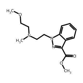 COCCN(C)CCn1nc(C(=O)OC)c2ccccc21